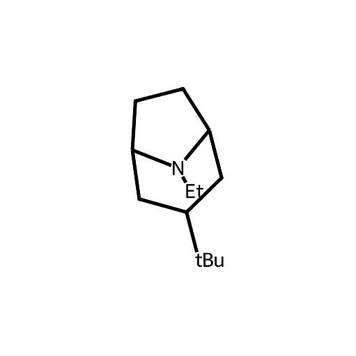 CCN1C2CCC1CC(C(C)(C)C)C2